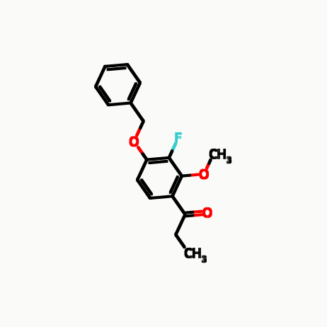 CCC(=O)c1ccc(OCc2ccccc2)c(F)c1OC